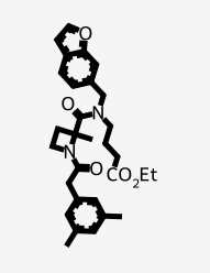 CCOC(=O)CCCN(Cc1ccc2ccoc2c1)C(=O)C1(C)CCN1C(=O)Cc1cc(C)cc(C)c1